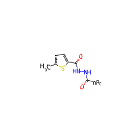 CCCC(=O)NNC(=O)c1ccc(C)s1